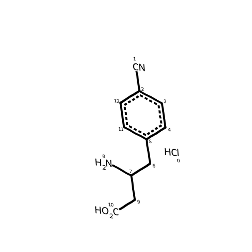 Cl.N#Cc1ccc(CC(N)CC(=O)O)cc1